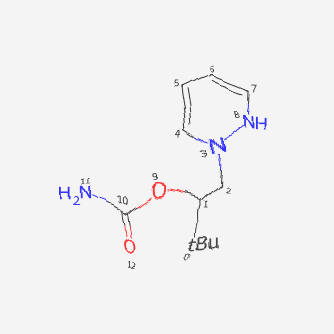 CC(C)(C)C(CN1C=CC=CN1)OC(N)=O